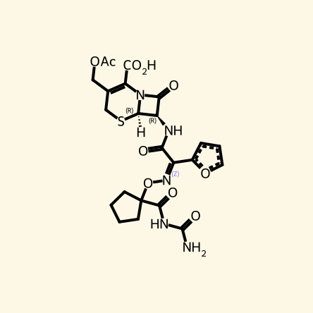 CC(=O)OCC1=C(C(=O)O)N2C(=O)[C@@H](NC(=O)/C(=N\OC3(C(=O)NC(N)=O)CCCC3)c3ccco3)[C@H]2SC1